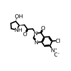 [C-]#[N+]c1cc2ncn(CC(=O)C[C@H]3NCC[C@@H]3O)c(=O)c2cc1Cl